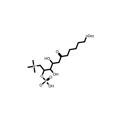 CCCCCCCCCCCCCCCC(=O)CC(O)C(O)C(C[N+](C)(C)C)OP(=O)([O-])O